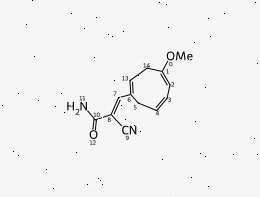 CO/C1=C/C=C\CC(/C=C(\C#N)C(N)=O)=C\C1